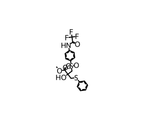 COC(=O)C(O)(CSc1ccccc1)CS(=O)(=O)c1ccc(NC(=O)C(F)(F)F)cc1